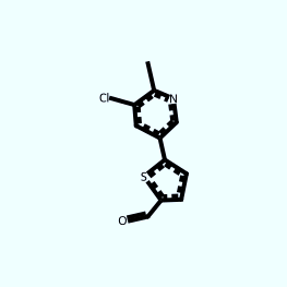 Cc1ncc(-c2ccc(C=O)s2)cc1Cl